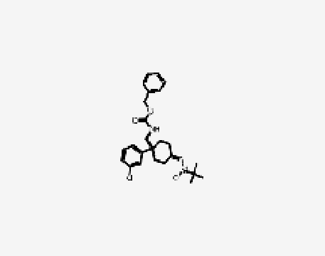 CC(C)(C)[S+]([O-])N=C1CCC(CNC(=O)OCc2ccccc2)(c2cccc(Cl)c2)CC1